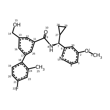 COc1ccnc([C@@H](NC(=O)c2cc(CO)cc(-c3ccc(F)cc3C)c2)C2CC2)c1